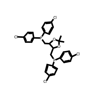 CC1(C)OC(CP(c2ccc(Cl)cc2)c2ccc(Cl)cc2)C(CP(c2ccc(Cl)cc2)c2ccc(Cl)cc2)O1